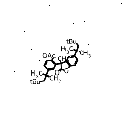 CC(=O)Oc1ccc(C(C)(C)CC(C)(C)C)cc1C1(C)C(=O)Oc2ccc(C(C)(C)CC(C)(C)C)cc21